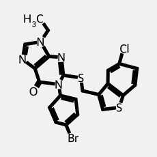 CCn1cnc2c(=O)n(-c3ccc(Br)cc3)c(SCc3csc4ccc(Cl)cc34)nc21